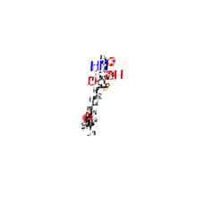 CC(=O)NCCC(C(=O)/C(C)=C/C=C/CCCO[Si](C)(C)C(C)(C)C)C(O)=S